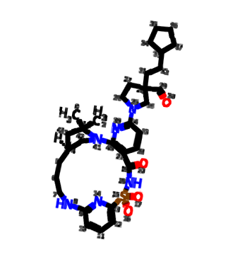 CC1(C)C[C@@H]2CCCNc3cccc(n3)S(=O)(=O)NC(=O)c3ccc(N4CCC(C=O)(CCC5CCCC5)C4)nc3N1C2